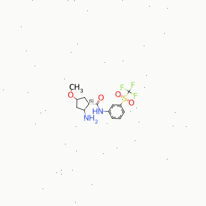 COC1CC(N)[C@@H](C(=O)Nc2cccc(S(=O)(=O)C(F)(F)F)c2)C1